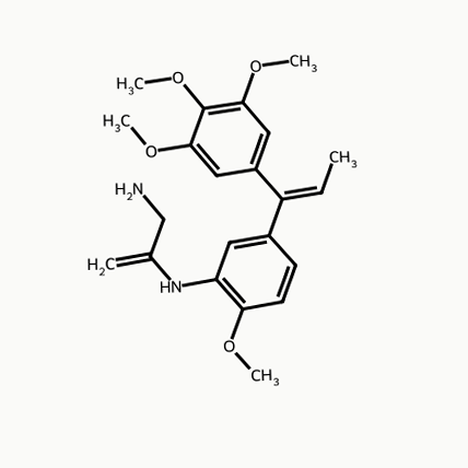 C=C(CN)Nc1cc(C(=CC)c2cc(OC)c(OC)c(OC)c2)ccc1OC